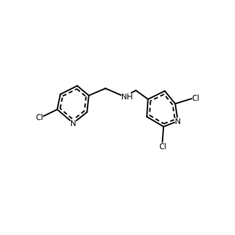 Clc1ccc(CNCc2cc(Cl)nc(Cl)c2)cn1